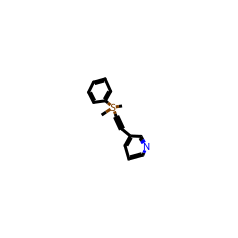 CS(C)(C#Cc1cccnc1)c1ccccc1